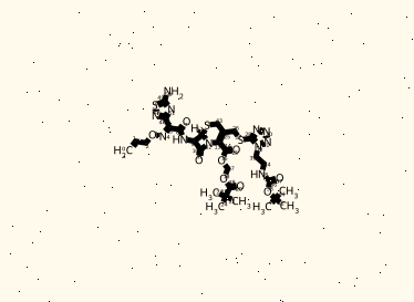 C=CCON=C(C(=O)NC1C(=O)N2C(C(=O)OCOC(=O)C(C)(C)C)=C(CSc3nnnn3CCNC(=O)OC(C)(C)C)CS[C@@H]12)c1nsc(N)n1